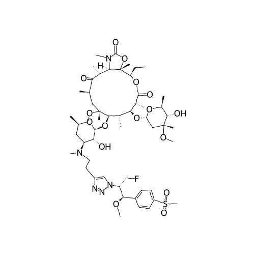 CC[C@H]1OC(=O)[C@H](C)[C@@H](O[C@H]2C[C@@](C)(OC)[C@@H](O)[C@H](C)O2)[C@H](C)[C@@H](O[C@@H]2O[C@H](C)C[C@H](N(C)CCc3cn([C@H](CF)[C@H](OC)c4ccc(S(C)(=O)=O)cc4)nn3)[C@H]2O)[C@](C)(OC)C[C@@H](C)C(=O)[C@H](C)[C@H]2N(C)C(=O)O[C@]12C